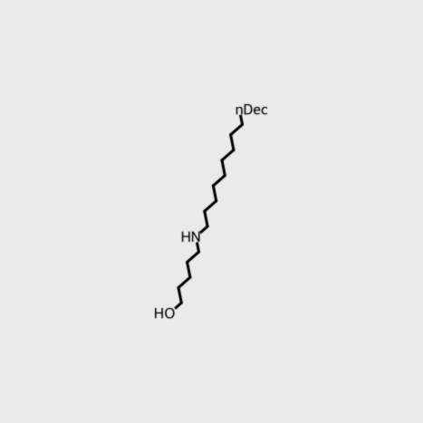 CCCCCCCCCCCCCCCCCCCNCCCCCO